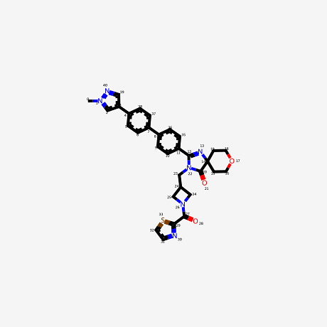 Cn1cc(-c2ccc(-c3ccc(C4=NC5(CCOCC5)C(=O)N4CC4CN(C(=O)c5nccs5)C4)cc3)cc2)cn1